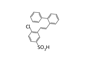 O=S(=O)(O)c1ccc(Cl)c(C=Cc2ccccc2-c2ccccc2)c1